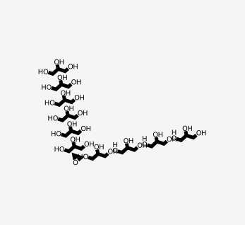 C1CO1.OCC(O)CO.OCC(O)CO.OCC(O)CO.OCC(O)CO.OCC(O)CO.OCC(O)CO.OCC(O)CO.OCC(O)CO.OCC(O)CO.OCC(O)CO